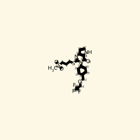 CS(=O)(=O)CCCSc1nc2cc[nH]c2c(=O)n1-c1ccc(COCC(F)(F)F)cc1